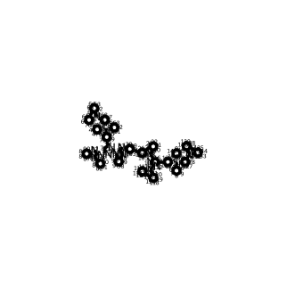 c1ccc([Si](c2ccccc2)(c2ccc(-c3cc(-n4c5ccccc5c5cc(-c6ccc7nc8n(-c9nc(-c%10ccc([Si](c%11ccccc%11)(c%11ccccc%11)c%11cccc(-n%12c%13ccccc%13c%13ccccc%13%12)c%11)cc%10)cc(-n%10c%11ccccc%11n%11c%12ccccc%12nc%10%11)n9)c9ccccc9n8c7c6)ccc54)nc(-n4c5ccccc5c5ccccc54)n3)cc2)c2cccc(-n3c4ccccc4c4ccccc43)c2)cc1